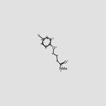 CNC(=O)CCCOc1ccc(C)cc1